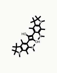 Cc1c(N(C)C)c(C2=C(O)C(c3c(C)c4c(c(C)c3N(C)C)N(C)C(C)(C)C4(C)C)=C2O)c(C)c2c1N(C)C(C)(C)C2(C)C